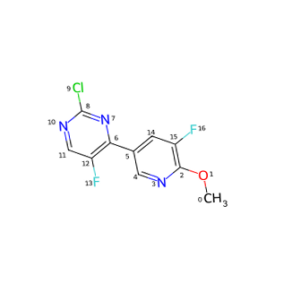 COc1ncc(-c2nc(Cl)ncc2F)cc1F